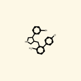 CC(C)c1cccc(C2CNCC2Cc2c(N)cccc2-c2ccc(Cl)cc2)c1